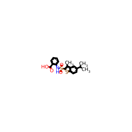 Cc1c(S(=O)(=O)Nc2ccccc2C(=O)O)sc2ccc(C(C)C)cc12